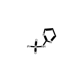 CC(C)S(=O)(=O)Nc1ncccn1